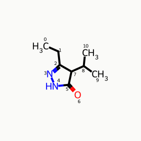 CCC1=NNC(=O)C1C(C)C